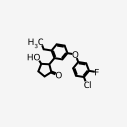 CCc1ccc(Oc2ccc(Cl)c(F)c2)cc1C1C(=O)CCC1O